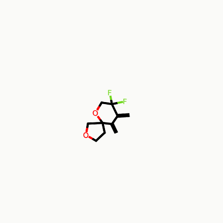 C=C1C(=C)C2(CCOC2)OCC1(F)F